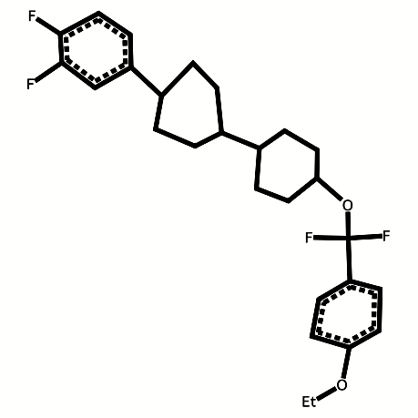 CCOc1ccc(C(F)(F)OC2CCC(C3CCC(c4ccc(F)c(F)c4)CC3)CC2)cc1